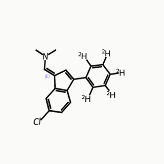 [2H]c1c([2H])c([2H])c(C2=C/C(=C\N(C)C)c3cc(Cl)ccc32)c([2H])c1[2H]